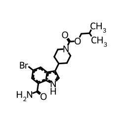 CC(C)COC(=O)N1CCC(c2c[nH]c3c(C(N)=O)cc(Br)cc23)CC1